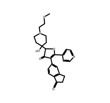 COCCN1CCC(O)(C2OC(c3ccncc3)=C(c3ccc4c(c3)CCC4=O)C2=O)CC1